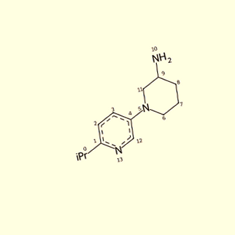 CC(C)c1ccc(N2CCCC(N)C2)cn1